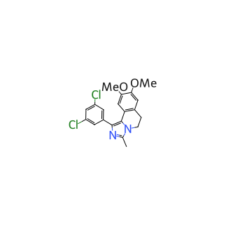 COc1cc2c(cc1OC)-c1c(-c3cc(Cl)cc(Cl)c3)nc(C)n1CC2